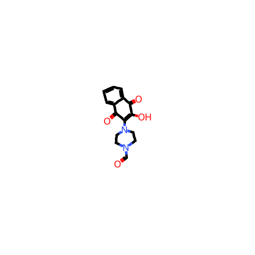 O=CN1CCN(C2=C(O)C(=O)c3ccccc3C2=O)CC1